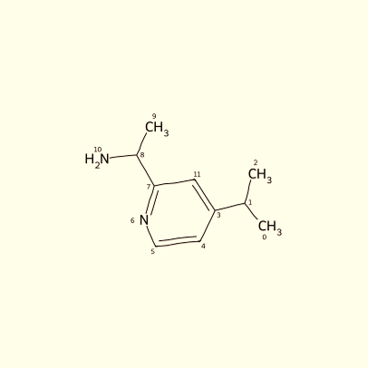 CC(C)c1ccnc(C(C)N)c1